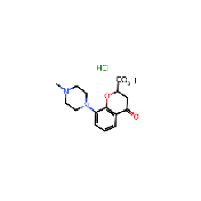 CN1CCN(c2cccc3c2OC(C(=O)O)CC3=O)CC1.Cl